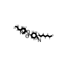 CCCCCCC[C@]1(C#N)CC[C@H](C(=O)Oc2ccc(CCC)nc2)CC1